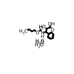 CCCCOC(=O)NC(c1ccccc1)C(O)C(=O)O.O.O.O